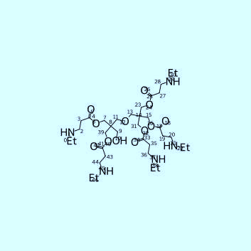 CCNCCC(=O)OCC(CO)(COCC(COC(=O)CCNCC)(COC(=O)CCNCC)COC(=O)CCNCC)COC(=O)CCNCC